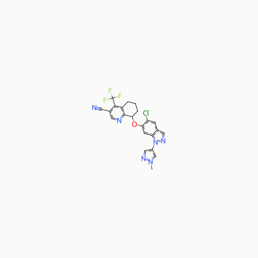 Cn1cc(-n2ncc3cc(Cl)c(OC4CCCc5c4ncc(C#N)c5C(F)(F)F)cc32)cn1